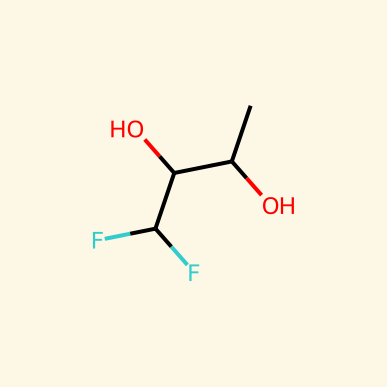 CC(O)C(O)C(F)F